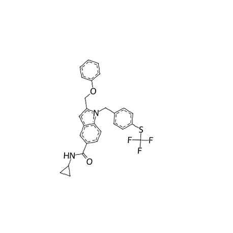 O=C(NC1CC1)c1ccc2c(c1)cc(COc1ccccc1)n2Cc1ccc(SC(F)(F)F)cc1